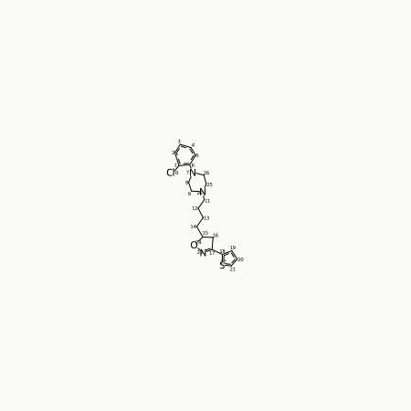 Clc1ccccc1N1CCN(CCCCC2CC(c3cccs3)=NO2)CC1